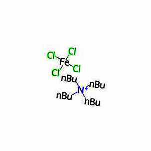 CCCC[N+](CCCC)(CCCC)CCCC.[Cl][Fe]([Cl])([Cl])[Cl]